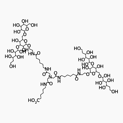 O=C(O)CCCCCNC(=O)CN(CC(=O)NCCCCCC(=O)NCCOC1OC(COC(O)C(O)C(O)C(O)CCO)C(O)C(OC(O)C(O)C(O)C(O)CCO)C1O)CC(=O)NCCCCCC(=O)NCCOC1OC(COC2OC(CO)C(O)C(O)C2O)C(O)C(OC(O)C(O)C(O)C(O)CCO)C1O